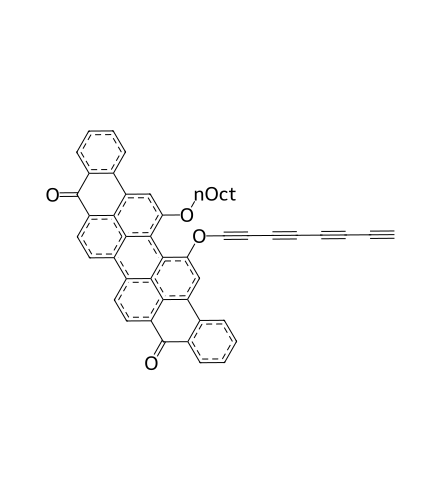 C#CC#CC#CC#COc1cc2c3c(ccc4c5ccc6c7c(cc(OCCCCCCCC)c(c1c34)c75)-c1ccccc1C6=O)C(=O)c1ccccc1-2